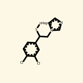 CCCCCCCSC(Cn1ccnc1)c1ccc(Cl)c(Cl)c1